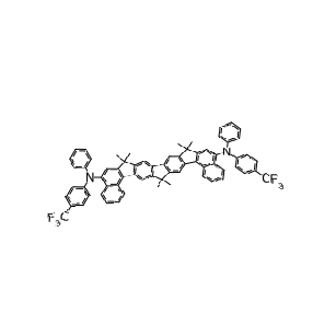 CC1(C)c2cc3c(cc2-c2cc4c(cc21)-c1c(cc(N(c2ccccc2)c2ccc(C(F)(F)F)cc2)c2ccccc12)C4(C)C)C(C)(C)c1cc(N(c2ccccc2)c2ccc(C(F)(F)F)cc2)c2ccccc2c1-3